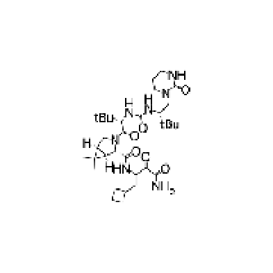 CC(C)(C)[C@H](NC(=O)N[C@H](CN1CCCNC1=O)C(C)(C)C)C(=O)N1C[C@H]2[C@@H]([C@H]1C(=O)NC(CC1CCC1)C(=O)C(N)=O)C2(C)C